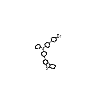 Brc1ccc(-c2ccc(N(c3ccccc3)c3ccc(-c4ccc5sc6ccccc6c5c4)cc3)cc2)cc1